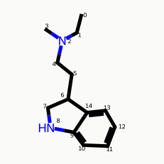 CCN(C)CCC1CNc2ccccc21